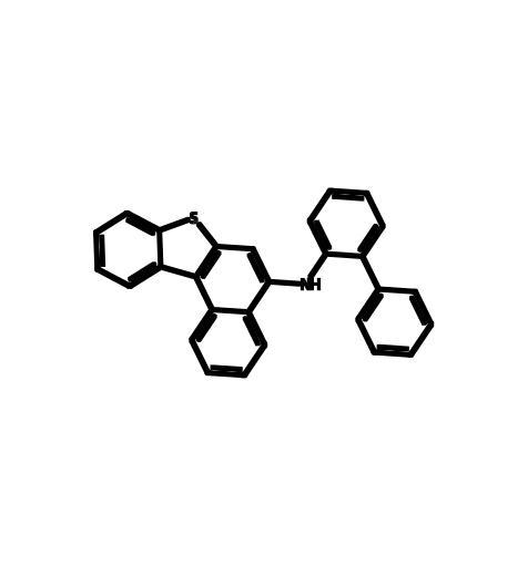 c1ccc(-c2ccccc2Nc2cc3sc4ccccc4c3c3ccccc23)cc1